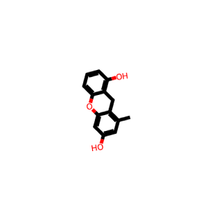 Cc1cc(O)cc2c1Cc1c(O)cccc1O2